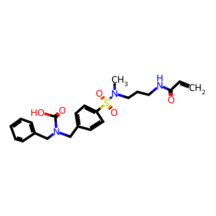 C=CC(=O)NCCCN(C)S(=O)(=O)c1ccc(CN(Cc2ccccc2)C(=O)O)cc1